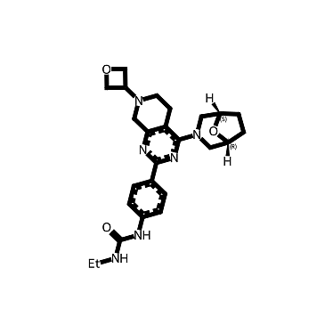 CCNC(=O)Nc1ccc(-c2nc3c(c(N4C[C@H]5CC[C@@H](C4)O5)n2)CCN(C2COC2)C3)cc1